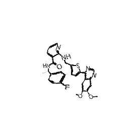 COc1cc2ncnc(-c3ccc(CNc4ncccc4C(=O)N[C@@H](C)c4ccc(F)cc4)s3)c2cc1OC